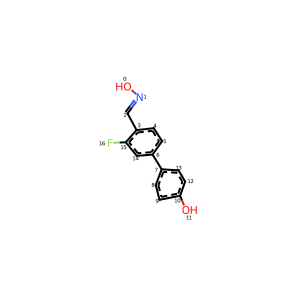 ON=Cc1ccc(-c2ccc(O)cc2)cc1F